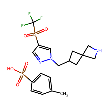 Cc1ccc(S(=O)(=O)O)cc1.O=S(=O)(c1cnn(CC2CC3(CNC3)C2)c1)C(F)(F)F